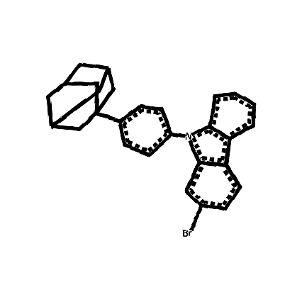 Brc1ccc2c3ccccc3n(-c3ccc(C45CC6CC(CC(C6)C4)C5)cc3)c2c1